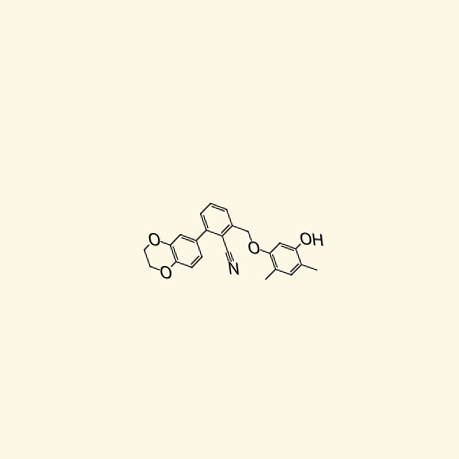 Cc1cc(C)c(OCc2cccc(-c3ccc4c(c3)OCCO4)c2C#N)cc1O